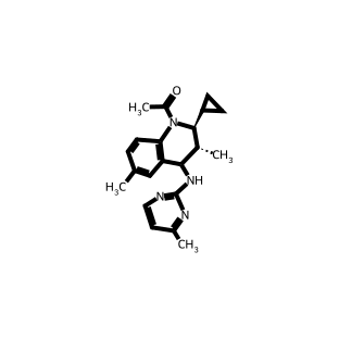 CC(=O)N1c2ccc(C)cc2C(Nc2nccc(C)n2)[C@@H](C)[C@@H]1C1CC1